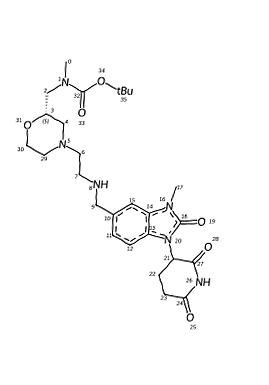 CN(C[C@@H]1CN(CCNCc2ccc3c(c2)n(C)c(=O)n3C2CCC(=O)NC2=O)CCO1)C(=O)OC(C)(C)C